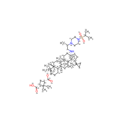 CC(CN[C@]12CC[C@@H](C3(C)CC3)[C@@H]1[C@H]1CC[C@@H]3[C@@]4(C)CC[C@H](OC(=O)[C@H]5C[C@@H](C(=O)O)C5(C)C)C(C)(C)[C@@H]4CC[C@@]3(C)[C@]1(C)CC2)N1CCN(S(=O)(=O)C(C)C)CC1